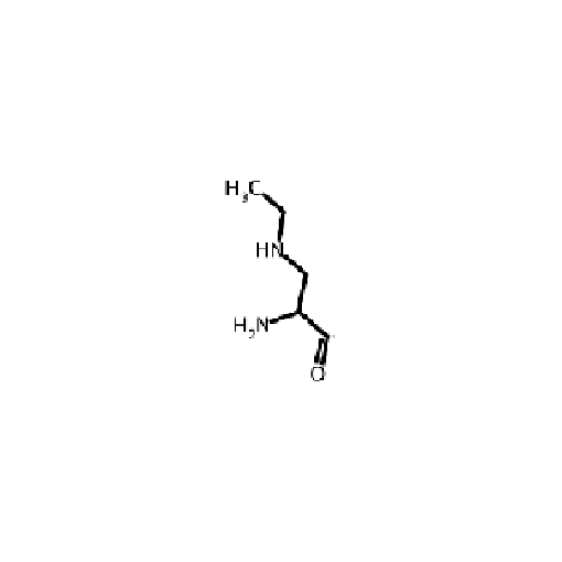 CCNCC(N)[C]=O